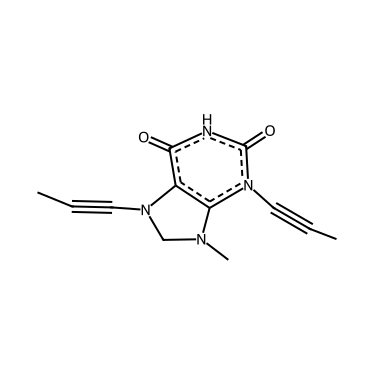 CC#CN1CN(C)c2c1c(=O)[nH]c(=O)n2C#CC